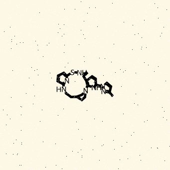 C=C1NSc2cccc(n2)NCCC2CCN(C2)C2=C1C=CC(n1ccc(C)n1)N2